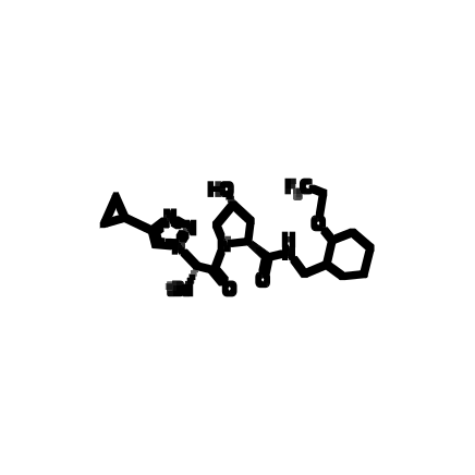 CC(C)(C)[C@@H](C(=O)N1C[C@H](O)C[C@H]1C(=O)NCC1CCCCC1OCC(F)(F)F)n1cc(C2CC2)nn1